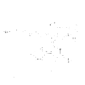 CCCCOCCOCCOCc1cc2c(cc1CCC)OCO2.NC1=NC(=O)C(c2ccccc2)O1